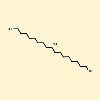 CCCCCCCCCCCCCCCCCCO.N